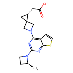 C[C@H]1CCN1c1nc(N2CC3(C[C@@H]3CC(=O)O)C2)c2ccsc2n1